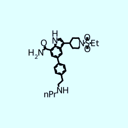 CCCNCCc1ccc(-c2cc(C(N)=O)c3[nH]cc(C4CCN(S(=O)(=O)CC)CC4)c3c2)cc1